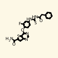 NC(=O)c1cc2ncnc(Oc3ccc(NC(=S)NC(=O)Cc4ccccc4)cc3F)c2s1